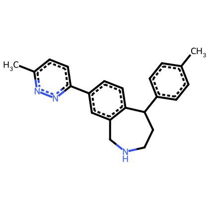 Cc1ccc(C2CCNCc3cc(-c4ccc(C)nn4)ccc32)cc1